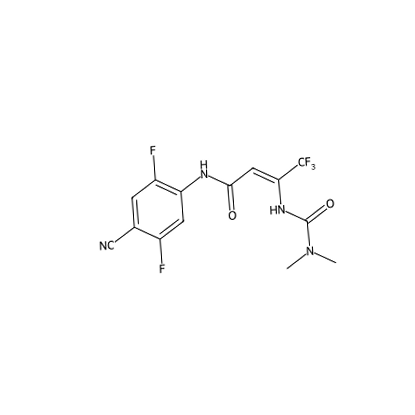 CN(C)C(=O)NC(=CC(=O)Nc1cc(F)c(C#N)cc1F)C(F)(F)F